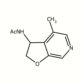 CC(=O)NC1COc2cncc(C)c21